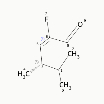 CC(C)[C@H](C)/C=C(/F)C=O